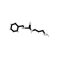 CCCCOC(=O)NCC1CCCCC1